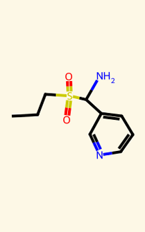 CCCS(=O)(=O)C(N)c1cccnc1